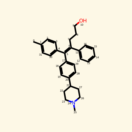 Cc1ccc(/C(=C(\CCCO)c2ccccc2)c2ccc(C3CCN(C)CC3)cc2)cc1